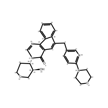 O=c1c2cc(Cc3ccc(N4CCOCC4)nc3)c3ccccc3c2ncn1[C@H]1CCOC[C@@H]1O